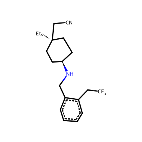 CC[C@]1(CC#N)CC[C@@H](NCc2ccccc2CC(F)(F)F)CC1